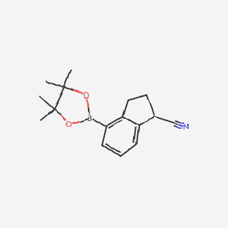 CC1(C)OB(c2cccc3c2CCC3C#N)OC1(C)C